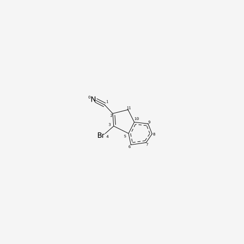 N#CC1=C(Br)c2ccccc2C1